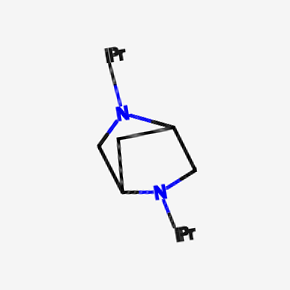 CC(C)N1CC2CC1CN2C(C)C